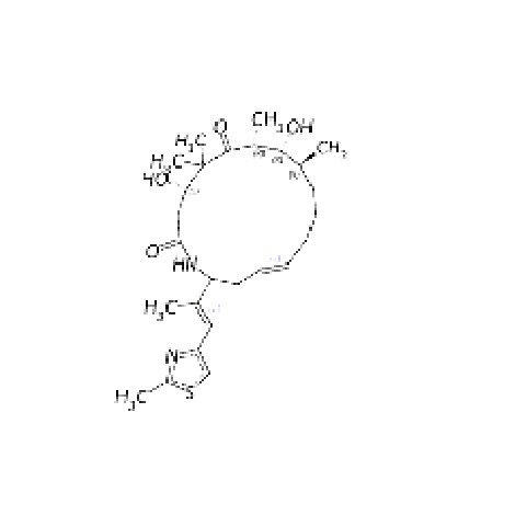 C/C(=C\c1csc(C)n1)C1C/C=C/CCC[C@H](C)[C@@H](O)[C@@H](C)C(=O)C(C)(C)[C@@H](O)CC(=O)N1